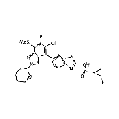 CSc1c(F)c(Cl)c(-c2ccc3nc(NC(=O)[C@@H]4C[C@@H]4F)sc3c2)c2cn(C3CCCCO3)nc12